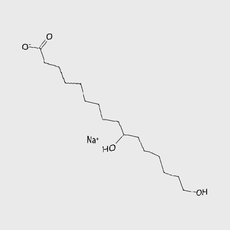 O=C([O-])CCCCCCCCC(O)CCCCCCO.[Na+]